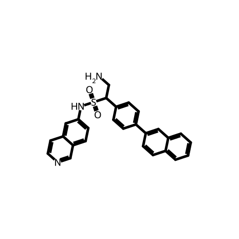 NCC(c1ccc(-c2ccc3ccccc3c2)cc1)S(=O)(=O)Nc1ccc2cnccc2c1